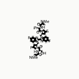 CN[C@H](C)C(=O)N[C@H](CO)C(=O)N1CC(F)C[C@H]1Cn1c(-c2nc3cc(F)ccc3n2C[C@@H]2CC(F)CN2C(=O)[C@H](NC(=O)[C@@H](C)NC)C(C)C)nc2cc(F)ccc21